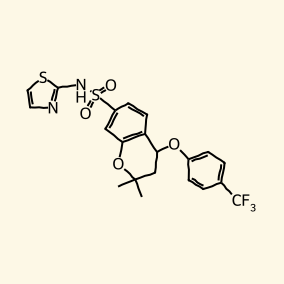 CC1(C)CC(Oc2ccc(C(F)(F)F)cc2)c2ccc(S(=O)(=O)Nc3nccs3)cc2O1